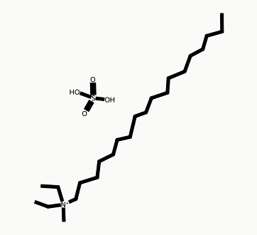 CCCCCCCCCCCCCCCCCC[N+](C)(CC)CC.O=S(=O)(O)O